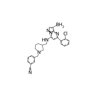 Bc1cnn2c(NCC3CCCN(Cc4cccc(C#N)c4)C3)cc(-c3ccccc3Cl)nc12